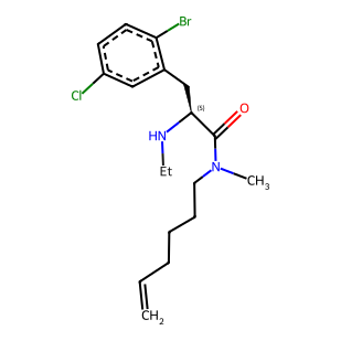 C=CCCCCN(C)C(=O)[C@H](Cc1cc(Cl)ccc1Br)NCC